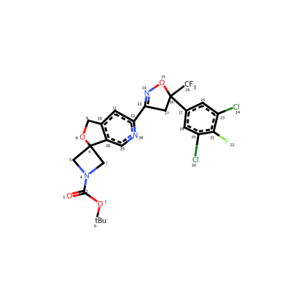 CC(C)(C)OC(=O)N1CC2(C1)OCc1cc(C3=NOC(c4cc(Cl)c(F)c(Cl)c4)(C(F)(F)F)C3)ncc12